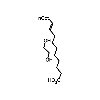 CCCCCCCCC=CCCCCCCCC(=O)O.OCCO